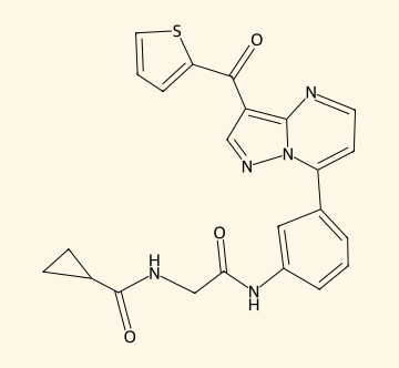 O=C(CNC(=O)C1CC1)Nc1cccc(-c2ccnc3c(C(=O)c4cccs4)cnn23)c1